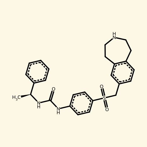 C[C@H](NC(=O)Nc1ccc(S(=O)(=O)Cc2ccc3c(c2)CCNCC3)cc1)c1ccccc1